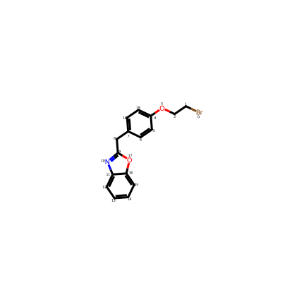 BrCCOc1ccc(Cc2nc3ccccc3o2)cc1